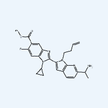 C=CCCn1c(-c2nc3cc(C(=O)OC(C)C)c(F)cc3n2C2CC2)cc2ccc(C(C)N)nc21